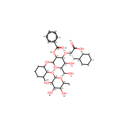 CC1CCCC(OC2OC(CO)C(O)C(O[C@@H](CC3CCCCC3)C(=O)O)C2OC(=O)c2ccccc2)C1OC1OC(C)C(O)C(O)C1O